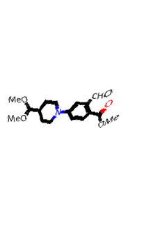 COC(=O)c1ccc(N2CCC(C(OC)OC)CC2)cc1C=O